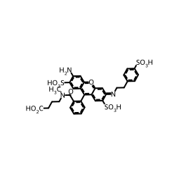 CN(CCCC(=O)O)C(=O)c1ccccc1-c1c2cc(S(=O)(=O)O)/c(=N/CCc3ccc(S(=O)(=O)O)cc3)cc-2oc2cc(N)c(S(=O)(=O)O)cc12